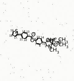 CN(CC(O)c1ccc(OC(=O)c2ccc(-c3cccs3)cc2)cc1)C(=O)OC(C)(C)C